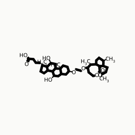 C[C@H]1C(OCCO[C@@H]2CC[C@@]3(C)C(C2)C[C@@H](O)C2C3C[C@H](O)[C@@]3(C)C2CC[C@@H]3CCCC(=O)O)CCOC2O[C@@]3(C)CCC4[C@H](C)CCC1[C@@]24O3